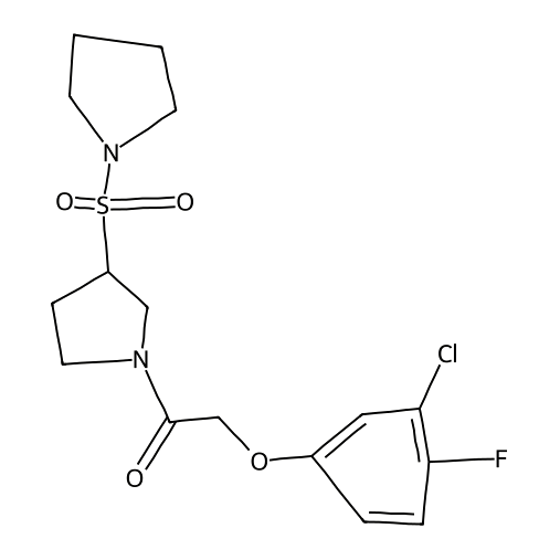 O=C(COc1ccc(F)c(Cl)c1)N1CCC(S(=O)(=O)N2CCCC2)C1